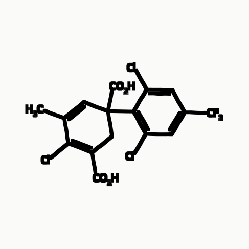 CC1=CC(C(=O)O)(c2c(Cl)cc(C(F)(F)F)cc2Cl)CC(C(=O)O)=C1Cl